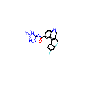 Cc1cnc2ccc(C(=O)N=C(N)N)cc2c1-c1ccc(F)cc1F